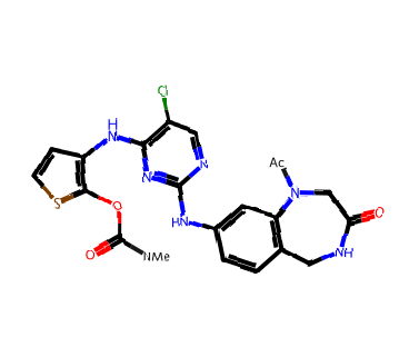 CNC(=O)Oc1sccc1Nc1nc(Nc2ccc3c(c2)N(C(C)=O)CC(=O)NC3)ncc1Cl